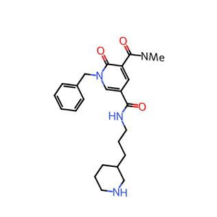 CNC(=O)c1cc(C(=O)NCCCC2CCCNC2)cn(Cc2ccccc2)c1=O